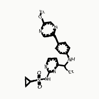 CCOc1cnc(-c2ccc(NC(CC)c3ccnc(NS(=O)(=O)C4CC4)n3)cc2)cn1